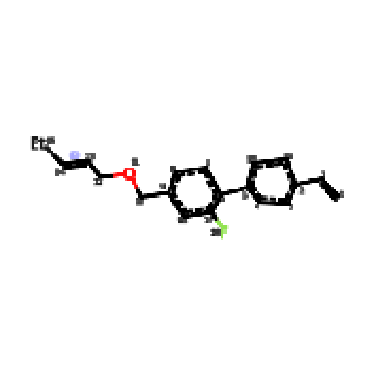 C=Cc1ccc(-c2ccc(COC/C=C/CC)cc2F)cc1